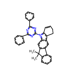 CC1(C)c2ccccc2-c2cc3c4c(n(-c5nc(-c6ccccc6)nc(-c6ccccc6)n5)c3cc21)C=CCC4